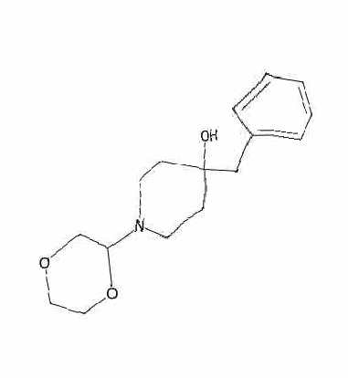 OC1(Cc2ccccc2)CCN(C2COCCO2)CC1